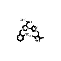 Cc1noc(C)c1Cn1cc(N2CN(Cc3ccccc3[N+](=O)[O-])CC2C(=O)C=O)cn1